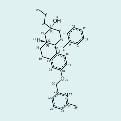 CCC[C@@]1(O)CC[C@@]2(Cc3ccccc3)c3ccc(OCc4cccc(C)n4)cc3CC[C@@H]2C1